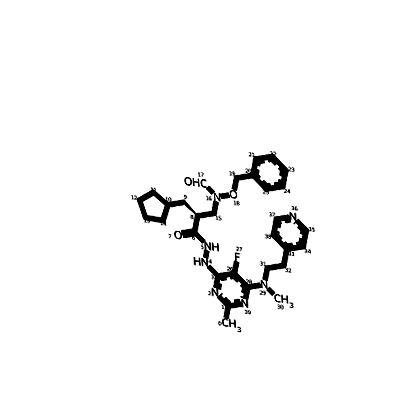 Cc1nc(NNC(=O)[C@@H](CC2CCCC2)CN(C=O)OCc2ccccc2)c(F)c(N(C)CCc2ccncc2)n1